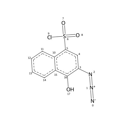 [N-]=[N+]=Nc1cc(S(=O)(=O)Cl)c2ccccc2c1O